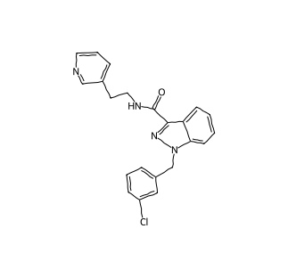 O=C(NCCc1cccnc1)c1nn(Cc2cccc(Cl)c2)c2ccccc12